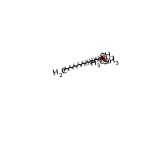 C=CCCCCCCCCCCCCCCCCC(C)(C)O[SiH3]